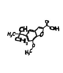 COc1cc(C(C)(C)C)cc2cc(C(=O)O)oc12